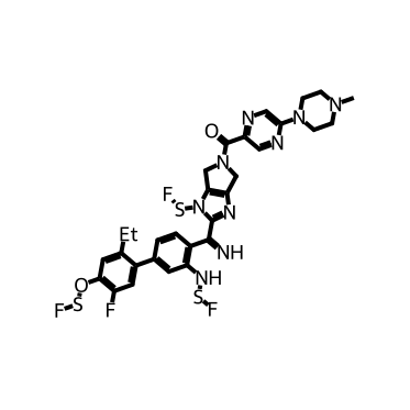 CCc1cc(OSF)c(F)cc1-c1ccc(C(=N)c2nc3c(n2SF)CN(C(=O)c2cnc(N4CCN(C)CC4)cn2)C3)c(NSF)c1